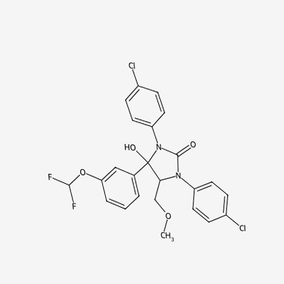 COCC1N(c2ccc(Cl)cc2)C(=O)N(c2ccc(Cl)cc2)C1(O)c1cccc(OC(F)F)c1